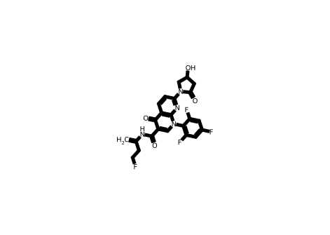 C=C(CCF)NC(=O)c1cn(-c2c(F)cc(F)cc2F)c2nc(N3CC(O)CC3=O)ccc2c1=O